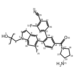 CC(C)(O)Cn1ccc2cc(-c3ccc(C(=O)N4CC[C@H](N)C4)cc3-c3ccc(C#N)c(F)c3)c(F)cc21